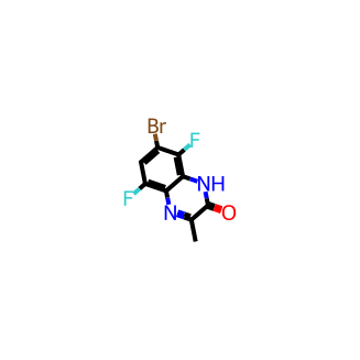 Cc1nc2c(F)cc(Br)c(F)c2[nH]c1=O